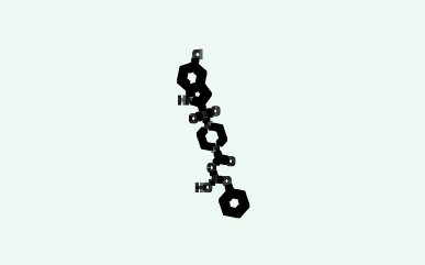 O=C(OB(O)Oc1ccccc1)N1CCN(S(=O)(=O)c2cc3cc(Cl)ccc3[nH]2)CC1